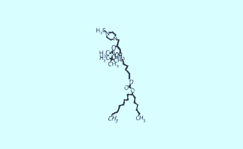 CCCCCCCCC(CCCCCC)OC(=O)OCCCCCCNCC(CN1CCN(C)CC1)O[Si](C)(C)C(C)(C)C